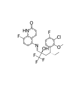 CC[C@H](C[C@@](O)(/C=N/c1ccc(F)c2[nH]c(=O)ccc12)C(F)(F)F)c1ccc(F)c(Cl)c1OC